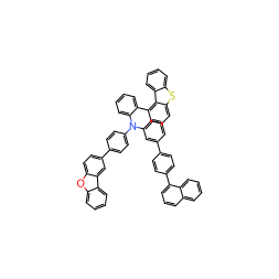 c1cc(-c2ccc(-c3cccc4ccccc34)cc2)cc(N(c2ccc(-c3ccc4oc5ccccc5c4c3)cc2)c2ccccc2-c2cccc3sc4ccccc4c23)c1